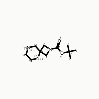 CC(C)(C)OC(=O)N1CC2(CNCCN2)C1